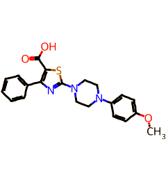 COc1ccc(N2CCN(c3nc(-c4ccccc4)c(C(=O)O)s3)CC2)cc1